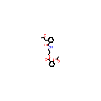 CC(=O)Cc1ccccc1C(=O)NCCCOC(=O)c1ccccc1OC(C)=O